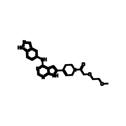 COCCOCC(=O)N1CC=C(c2cc3c(Nc4ccc5[nH]ncc5c4)ncnc3[nH]2)CC1